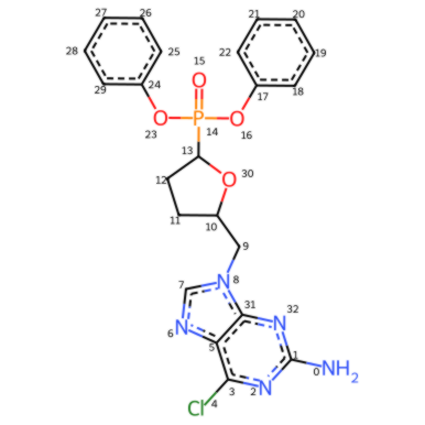 Nc1nc(Cl)c2ncn(CC3CCC(P(=O)(Oc4ccccc4)Oc4ccccc4)O3)c2n1